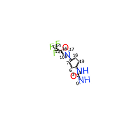 CNC(=O)Nc1ccc(N2C=C(C(F)(F)F)OC2)cc1